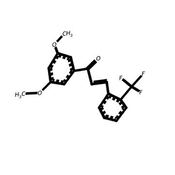 COc1cc(OC)cc(C(=O)C=Cc2ccccc2C(F)(F)F)c1